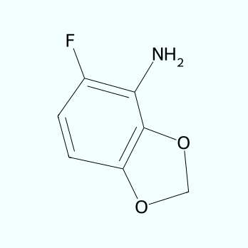 Nc1c(F)ccc2c1OCO2